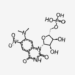 CN(C)c1cc2c(cc1[N+](=O)[O-])c(=O)[nH]c(=O)n2[C@@H]1O[C@H](COP(=O)(O)O)[C@@H](O)[C@H]1O